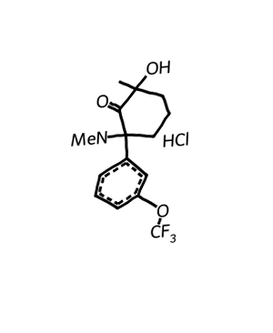 CNC1(c2cccc(OC(F)(F)F)c2)CCCC(C)(O)C1=O.Cl